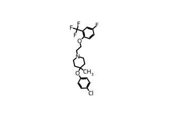 CC1(Oc2ccc(Cl)cc2)CCN(CCOc2ccc(F)cc2C(F)(F)F)CC1